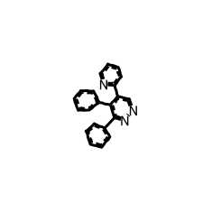 c1ccc(-c2nncc(-c3ccccn3)c2-c2ccccc2)cc1